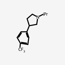 CC(C)N1CCC(c2ccc(C(F)(F)F)cc2)C1